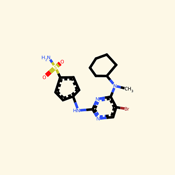 CN(c1nc(Nc2ccc(S(N)(=O)=O)cc2)ncc1Br)C1CCCCC1